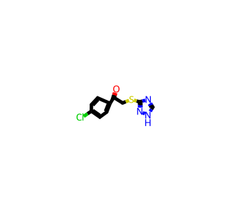 O=C(CSc1nc[nH]n1)c1ccc(Cl)cc1